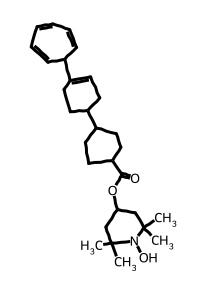 CC1(C)CC(OC(=O)C2CCC(C3CC=C(C4C=CC=CC=C4)CC3)CC2)CC(C)(C)N1O